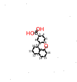 OB(O)c1ccc2c(c1)-c1cccc3cccc(c13)O2